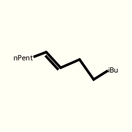 CCCCC/C=C/CCC(C)CC